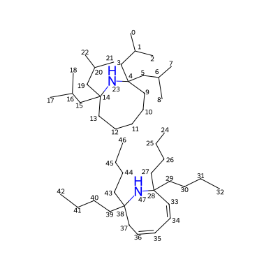 CC(C)CC1(CC(C)C)CCCCCC(CC(C)C)(CC(C)C)N1.CCCCC1(CCCC)C=CC=CCC(CCCC)(CCCC)N1